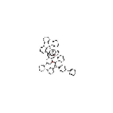 c1ccc(-c2ccc(N(c3cccc(-c4ccccc4-c4ccc5c6ccccc6n(-c6cccc7c6C(c6ccccc6)(c6ccccc6)c6ccccc6-7)c5c4)c3)c3cccc4ccccc34)cc2)cc1